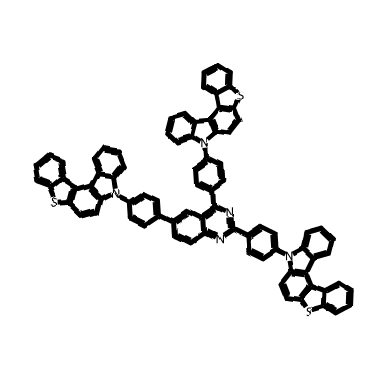 c1ccc2c(c1)sc1ccc3c(c4ccccc4n3-c3ccc(-c4ccc5nc(-c6ccc(-n7c8ccccc8c8c9c(ccc87)sc7ccccc79)cc6)nc(-c6ccc(-n7c8ccccc8c8c9c(ccc87)sc7ccccc79)cc6)c5c4)cc3)c12